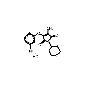 CC1=C(Oc2cccc(N)c2)C(=O)N(C2CCOCC2)C1=O.Cl